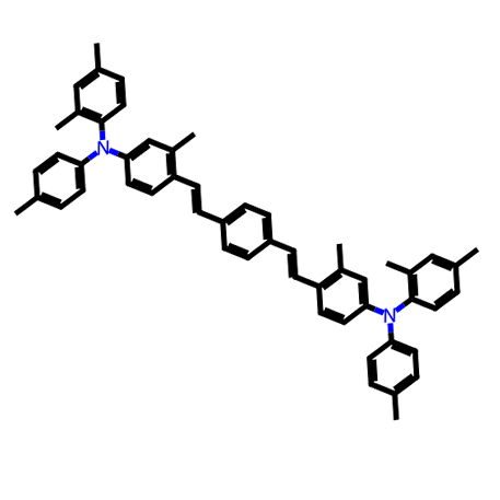 Cc1ccc(N(c2ccc(C=Cc3ccc(C=Cc4ccc(N(c5ccc(C)cc5)c5ccc(C)cc5C)cc4C)cc3)c(C)c2)c2ccc(C)cc2C)cc1